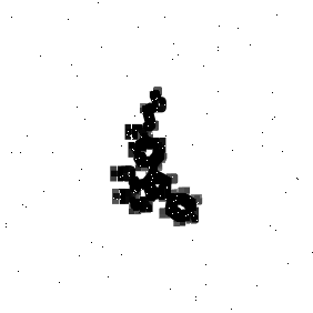 COCCNc1ncc(-c2cn(-c3ccncc3)c3c2C(O)NC=N3)cn1